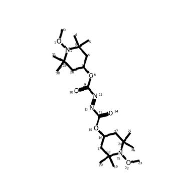 CON1C(C)(C)CC(OC(=O)N=NC(=O)OC2CC(C)(C)N(OC)C(C)(C)C2)CC1(C)C